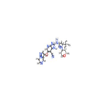 Cn1c(Nc2cc(C(C)(C)C)n(C3CCOCC3)n2)nc2ncc(Oc3cnn4ccncc34)c(C#N)c21